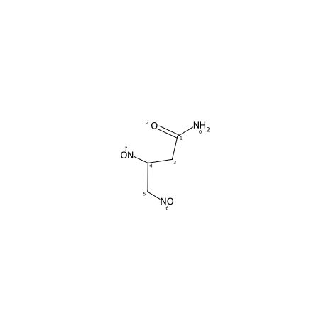 NC(=O)CC(CN=O)N=O